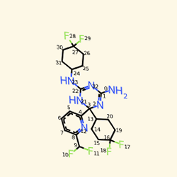 NC1=NC(c2cccc(C(F)F)n2)(C2CCC(F)(F)CC2)NC(NC2CCC(F)(F)CC2)=N1